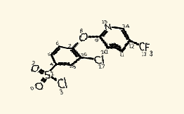 O=S(=O)(Cl)c1ccc(Oc2ccc(C(F)(F)F)cn2)c(Cl)c1